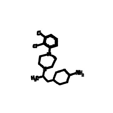 CC(CC1CCC(N)CC1)N1CCN(c2cccc(Cl)c2Cl)CC1